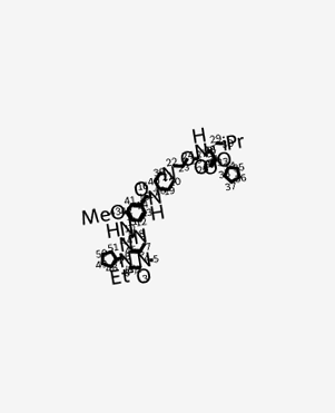 CC[C@H]1C(=O)N(C)c2cnc(Nc3ccc(C(=O)NC4CCN(CCOC(=O)N[C@H](CC(C)C)C(=O)OC5CCCC5)CC4)cc3OC)nc2N1C1CCCC1